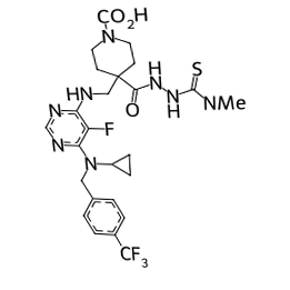 CNC(=S)NNC(=O)C1(CNc2ncnc(N(Cc3ccc(C(F)(F)F)cc3)C3CC3)c2F)CCN(C(=O)O)CC1